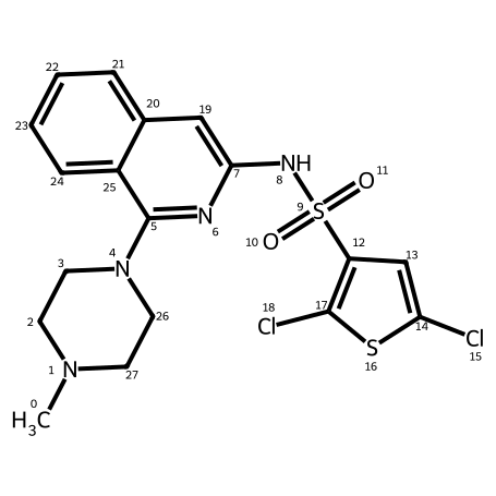 CN1CCN(c2nc(NS(=O)(=O)c3cc(Cl)sc3Cl)cc3ccccc23)CC1